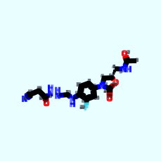 CC(=O)NC[C@H]1CN(c2ccc(NCNNC(=O)CC#N)c(F)c2)C(=O)O1